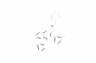 O=C(CN1CCCCC1)Nc1cc2cc(O)ccc2c(Oc2ccccc2)c1-c1cccc(O)c1